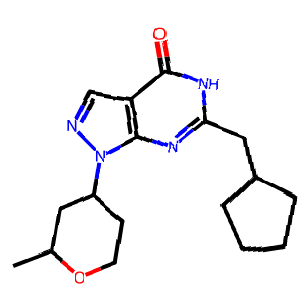 CC1CC(n2ncc3c(=O)[nH]c(CC4CCCC4)nc32)CCO1